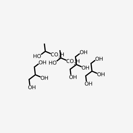 CC(O)C(=O)O.CC(O)C(=O)O.OCC(O)CO.OCC(O)CO.OCC(O)CO